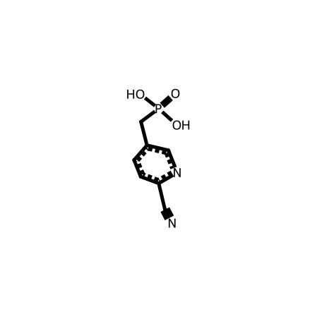 N#Cc1ccc(CP(=O)(O)O)cn1